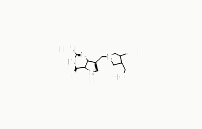 CC1CN(CC2=CNC3C(=O)NC(N)=NC23)CC1CO